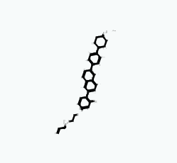 C=CC(=O)NCCOc1ccc(-c2ccc3cc(-c4ccc(C5CCC(CCCCC)CC5)cc4)ccc3c2)c(F)c1